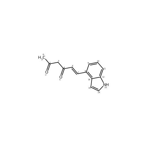 CC(=O)CC(=O)/C=C/c1cccc2[nH]ccc12